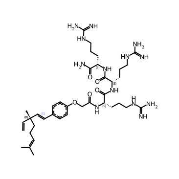 C=C[C@](C)(/C=C/c1ccc(OCC(=O)N[C@@H](CCCNC(=N)N)C(=O)N[C@@H](CCCNC(=N)N)C(=O)N[C@@H](CCCNC(=N)N)C(N)=O)cc1)CCC=C(C)C